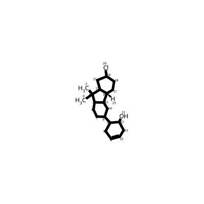 CC1(C)C2CCC(C3CC=CCC3O)CC2[C@H]2CCC(Cl)CC21